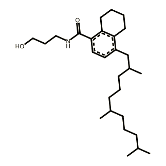 CC(C)CCCC(C)CCCC(C)Cc1ccc(C(=O)NCCCO)c2c1CCCC2